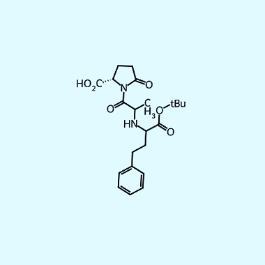 CC(NC(CCc1ccccc1)C(=O)OC(C)(C)C)C(=O)N1C(=O)CC[C@H]1C(=O)O